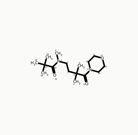 CN(CCC(C)(C)C(=O)N1CCOCC1)C(=O)C(C)(C)C